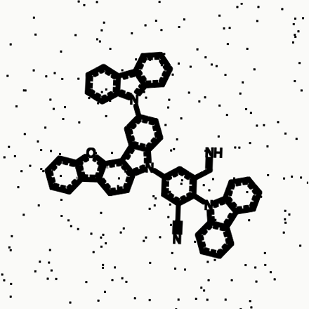 N#Cc1cc(-n2c3ccc(-n4c5ccccc5c5ccccc54)cc3c3c4oc5ccccc5c4ccc32)cc(C=N)c1-n1c2ccccc2c2ccccc21